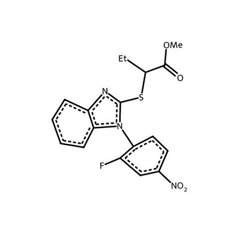 CCC(Sc1nc2ccccc2n1-c1ccc([N+](=O)[O-])cc1F)C(=O)OC